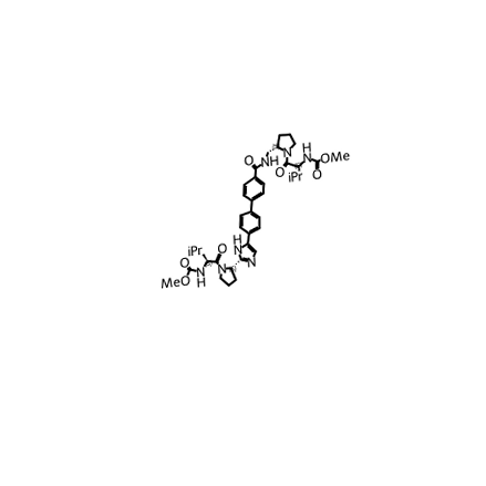 COC(=O)N[C@H](C(=O)N1CCC[C@H]1CNC(=O)c1ccc(-c2ccc(-c3cnc([C@@H]4CCCN4C(=O)[C@@H](NC(=O)OC)C(C)C)[nH]3)cc2)cc1)C(C)C